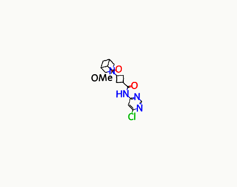 COC(=O)C1C2CC1CN(C1CC(C(=O)Nc3cc(Cl)ncn3)C1)C2